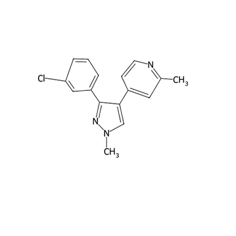 Cc1cc(-c2cn(C)nc2-c2cccc(Cl)c2)ccn1